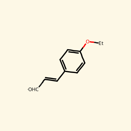 CCOc1ccc(C=C[C]=O)cc1